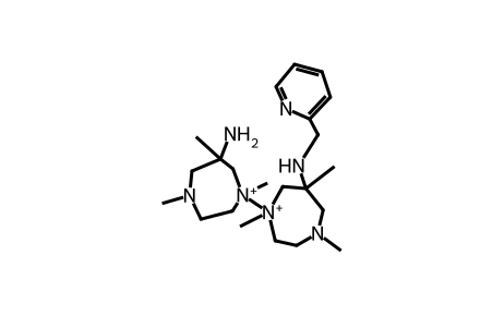 CN1CC[N+](C)([N+]2(C)CCN(C)CC(C)(NCc3ccccn3)C2)CC(C)(N)C1